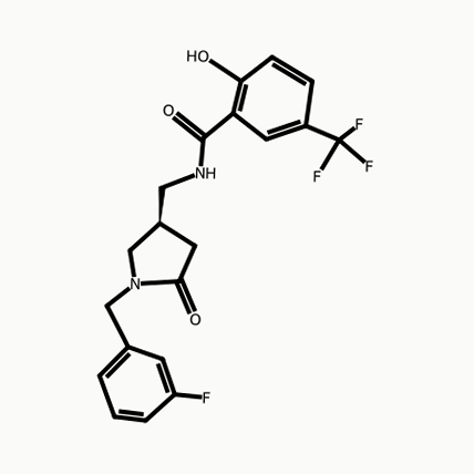 O=C(NC[C@H]1CC(=O)N(Cc2cccc(F)c2)C1)c1cc(C(F)(F)F)ccc1O